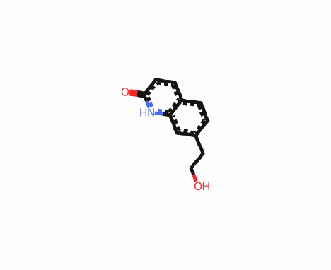 O=c1ccc2ccc(CCO)cc2[nH]1